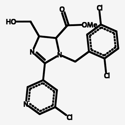 COC(=O)C1C(CO)N=C(c2cncc(Cl)c2)N1Cc1cc(Cl)ccc1Cl